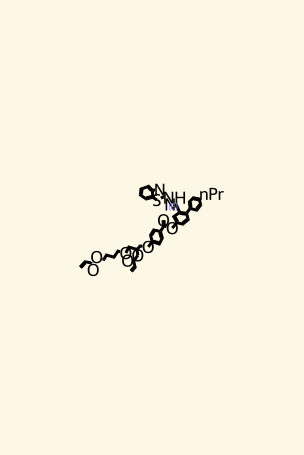 C=CC(=O)OCCCCOCC(COc1ccc(C(=O)Oc2ccc(-c3ccc(CCC)cc3)c(/C=N/Nc3nc4ccccc4s3)c2)cc1)OC(=O)C=C